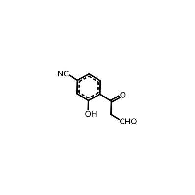 N#Cc1ccc(C(=O)CC=O)c(O)c1